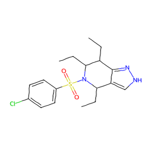 CCC1c2n[nH]cc2C(CC)N(S(=O)(=O)c2ccc(Cl)cc2)C1CC